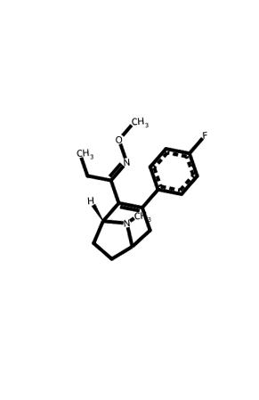 CCC(=NOC)C1=C(c2ccc(F)cc2)CC2CC[C@H]1N2C